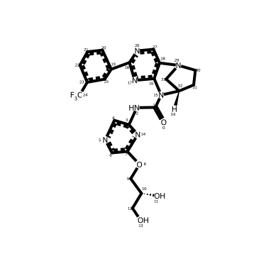 O=C(Nc1cncc(OC[C@H](O)CO)n1)N1c2nc(-c3cccc(C(F)(F)F)c3)ncc2N2CC[C@H]1C2